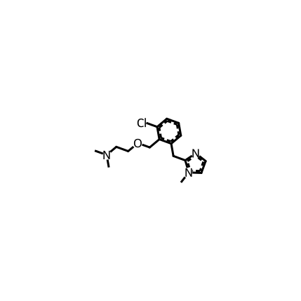 CN(C)CCOCc1c(Cl)cccc1Cc1nccn1C